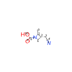 CC1C(CC#N)CN1C(=O)O